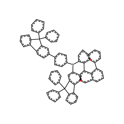 c1ccc(-c2cccc3cccc(-c4ccccc4N(c4ccc(-c5ccc6c(c5)C(c5ccccc5)(c5ccccc5)c5ccccc5-6)cc4)c4ccc5c(c4)C(c4ccccc4)(c4ccccc4)c4ccccc4-5)c23)cc1